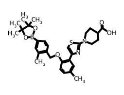 Cc1ccc(OCc2ccc(B3OC(C)(C)C(C)(C)O3)cc2C)c(-c2csc(N3CCC(C(=O)O)CC3)n2)c1